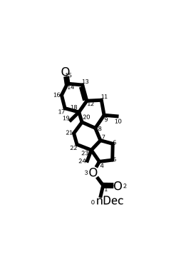 CCCCCCCCCCC(=O)OC1CCC2C3C(C)CC4=CC(=O)CCC4(C)C3CCC12C